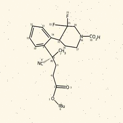 CC(C)(C)OC(=O)CC[C@@](C)(C#N)c1ccccc1C1CCN(C(=O)O)CC1(F)F